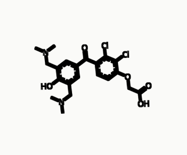 CN(C)Cc1cc(C(=O)c2ccc(OCC(=O)O)c(Cl)c2Cl)cc(CN(C)C)c1O